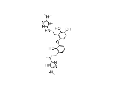 CN(C)c1nnc(N(C)CCc2cccc(Oc3ccc(O)c(O)c3CCNc3nnc(N(C)C)n3C)c2O)[nH]1